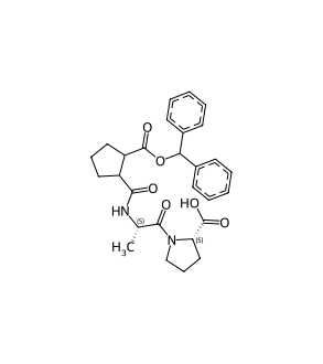 C[C@H](NC(=O)C1CCCC1C(=O)OC(c1ccccc1)c1ccccc1)C(=O)N1CCC[C@H]1C(=O)O